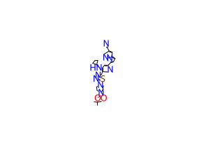 CC(C)(C)OC(=O)N1CCN(c2nnc(-c3cnc(-c4ccc5cc(C#N)cnn45)cc3NC3CCC3)s2)CC1